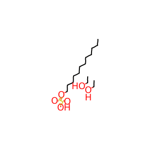 CCCCCCCCCCCCOS(=O)(=O)O.CCO.CCO